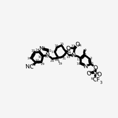 Cc1cc(OS(=O)(=O)C(F)(F)F)ncc1N1C[C@@]2(CCC[C@](C)(Cn3cnc4ccc(C#N)cc43)C2)OC1=O